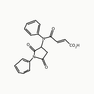 O=C(O)/C=C/C(=O)N(c1ccccc1)C1CC(=O)N(c2ccccc2)C1=O